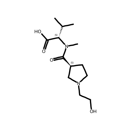 CC(C)[C@@H](C(=O)O)N(C)C(=O)[C@H]1CCN(CCO)C1